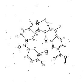 COC(=O)c1ccc(C(C)N2CCn3nc4c(c3C2=O)CN(C(=O)c2ccc(Cl)c(Cl)c2)[C@H](C)C4)nc1